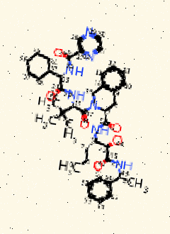 CCC[C@H](NC(=O)[C@@H]1Cc2ccccc2CN1C(=O)[C@@H](NC(=O)[C@@H](NC(=O)c1cnccn1)C1CCCCC1)C(C)(C)C)C(=O)C(=O)N[C@@H](C)c1ccccc1